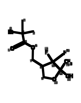 CCC(C)(C)C(=O)OCC1COC(O)(C(F)(F)F)C1(F)F